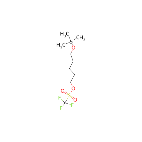 C[Si](C)(C)OCCCCCOS(=O)(=O)C(F)(F)F